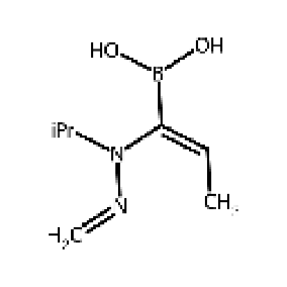 C=NN(/C(=C\C)B(O)O)C(C)C